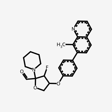 Cc1c(-c2ccc(OC3COC(C=O)(N4CCCCC4)C3F)cc2)ccc2cccnc12